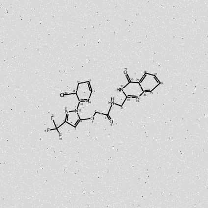 O=C(COc1cc(C(F)(F)F)nn1C1=CC=CCC1Cl)NCc1nc2ccccc2c(=O)[nH]1